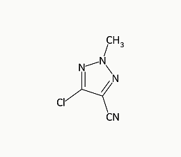 Cn1nc(Cl)c(C#N)n1